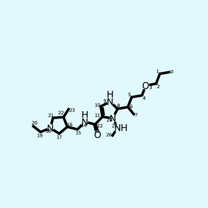 CCCOCCC(C)C1NC=C(C(=O)NCC2CN(CC)CC2C)N1NC